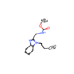 CC(C)(C)OC(=O)NCc1nc2ccccc2n1CCC=O